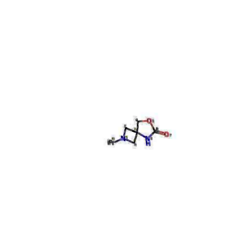 CC(C)N1CC2(COC(=O)N2)C1